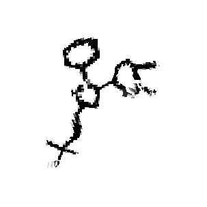 CC(C)n1nc(-c2cc(C#CC(C)(C)O)nn2-c2ccccc2)ccc1=O